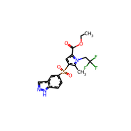 CCOC(=O)c1cc(S(=O)(=O)c2ccc3[nH]ncc3c2)c(C)n1CC(F)(F)F